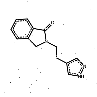 O=C1c2ccccc2CN1CCc1cn[nH]c1